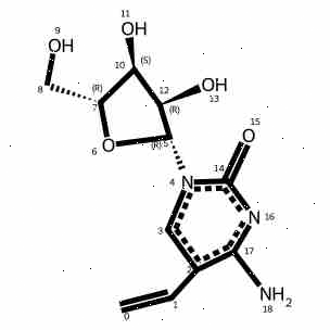 C=Cc1cn([C@@H]2O[C@H](CO)[C@@H](O)[C@H]2O)c(=O)nc1N